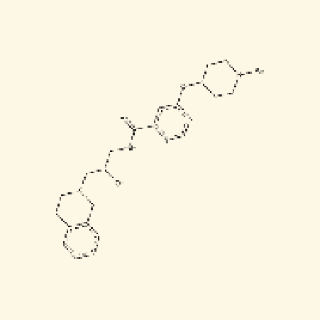 CC(=O)N1CCC(Oc2cc(C(=O)NCC(O)CN3CCc4ccccc4C3)ncn2)CC1